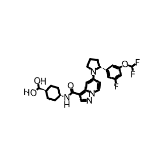 O=C(N[C@H]1CC[C@H](C(O)O)CC1)c1cnn2ccc(N3CCC[C@@H]3c3cc(F)cc(OC(F)F)c3)cc12